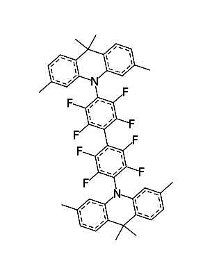 Cc1ccc2c(c1)N(c1c(F)c(F)c(-c3c(F)c(F)c(N4c5cc(C)ccc5C(C)(C)c5ccc(C)cc54)c(F)c3F)c(F)c1F)c1cc(C)ccc1C2(C)C